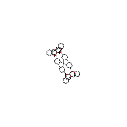 c1ccc2c(c1)-c1ccccc1C2c1ccc2c(c1)C1(c3cc(-n4c5ccccc5c5ccccc54)ccc3-2)c2cc(-n3c4ccccc4c4ccccc43)ccc2-c2ccc(-n3c4ccccc4c4ccccc43)cc21